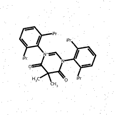 CC(C)c1cccc(C(C)C)c1N1C=[N+](c2c(C(C)C)cccc2C(C)C)C(=O)C(C)(C)C1=O